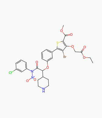 CCOC(=O)COc1c(C(=O)OC)sc(-c2cccc(OC(C(=O)N(c3cccc(Cl)c3)[N+](=O)[O-])C3CCNCC3)c2)c1Br